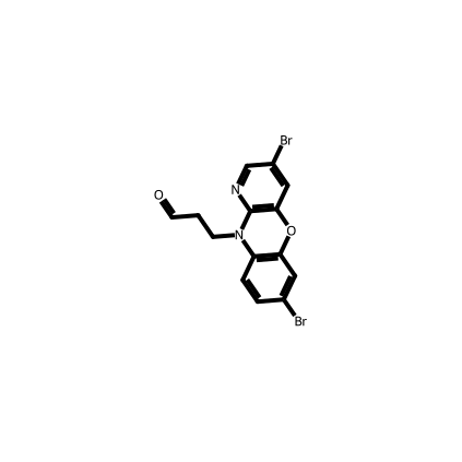 O=CCCN1c2ccc(Br)cc2Oc2cc(Br)cnc21